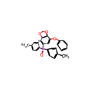 Cc1ccc(P(=O)(c2ccc(C)cc2)c2cc(Oc3ccccc3)c3c(c2I)OCO3)cc1